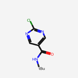 CC(C)(C)NC(=O)c1cnc(Cl)nc1